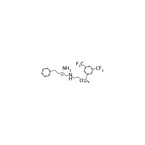 C[C@@H](OCCNC[C@@H](N)CCc1ccccc1)c1cc(C(F)(F)F)cc(C(F)(F)F)c1